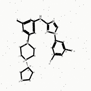 Cc1cc(Nc2ncn(-c3cc(F)cc(F)c3)n2)cc(N2CCN([C@@H]3CCOC3)CC2)c1